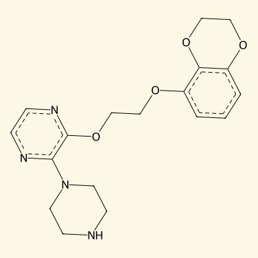 c1cc(OCCOc2nccnc2N2CCNCC2)c2c(c1)OCCO2